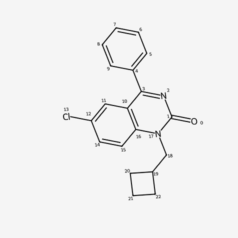 O=c1nc(-c2ccccc2)c2cc(Cl)ccc2n1CC1CCC1